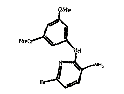 COc1cc(Nc2nc(Br)ccc2N)cc(OC)c1